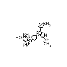 CCNc1cc2c(cn1)c(-c1cnn(C)c1)nn2[C@H]1CC[C@@H](OC2=NN(C)C(O)C=C2C(F)(F)F)CC1